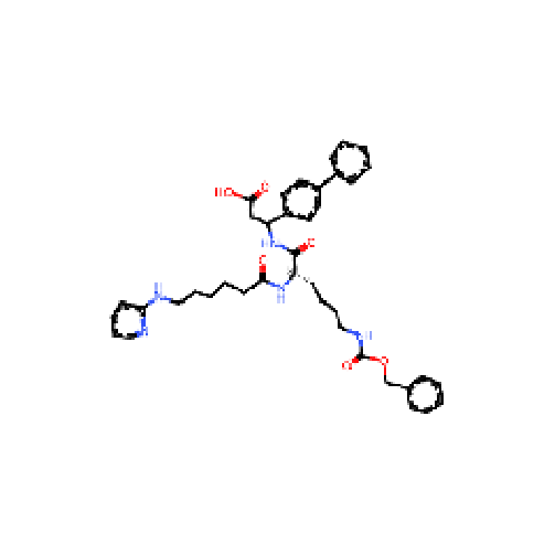 O=C(O)CC(NC(=O)[C@H](CCCCNC(=O)OCc1ccccc1)NC(=O)CCCCCNc1ccccn1)c1ccc(-c2ccccc2)cc1